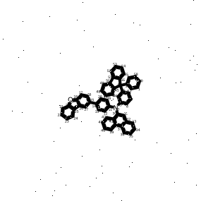 c1ccc(C2(c3cccc(N(c4ccc(-c5ccc6oc7ccccc7c6c5)cc4)c4cc5ccccc5c5ccccc45)c3)c3ccccc3-c3ccccc32)cc1